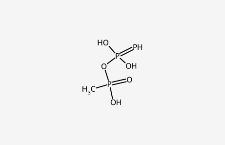 CP(=O)(O)OP(O)(O)=P